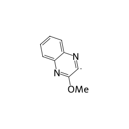 COc1[c]nc2ccccc2n1